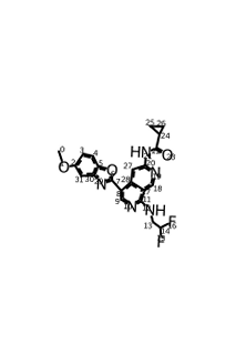 COc1ccc2oc(-c3cnc(NCC(F)F)c4cnc(NC(=O)C5CC5)cc34)nc2c1